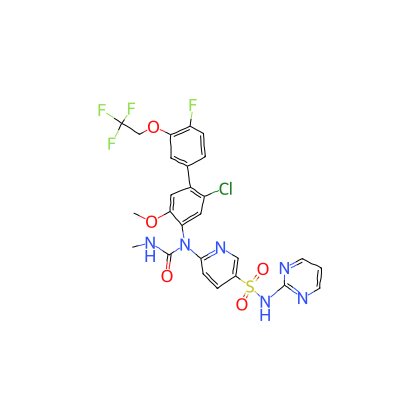 CNC(=O)N(c1ccc(S(=O)(=O)Nc2ncccn2)cn1)c1cc(Cl)c(-c2ccc(F)c(OCC(F)(F)F)c2)cc1OC